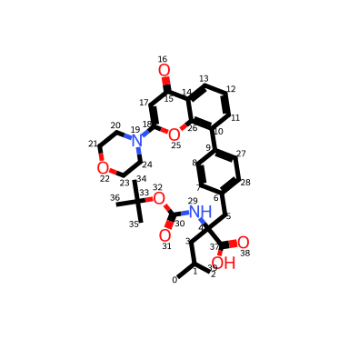 CC(C)CC(Cc1ccc(-c2cccc3c(=O)cc(N4CCOCC4)oc23)cc1)(NC(=O)OC(C)(C)C)C(=O)O